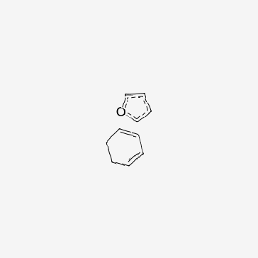 C1=CCCC=C1.c1ccoc1